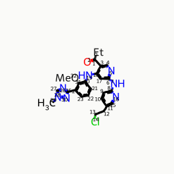 CCC(=O)c1cnc(Nc2ccc(CCCl)cn2)cc1Nc1cccc(-c2ncn(C)n2)c1OC